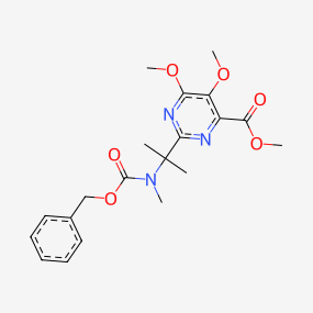 COC(=O)c1nc(C(C)(C)N(C)C(=O)OCc2ccccc2)nc(OC)c1OC